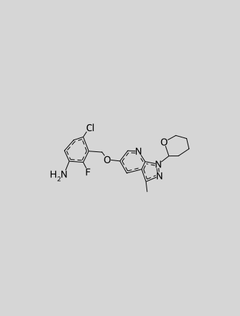 Cc1nn(C2CCCCO2)c2ncc(OCc3c(Cl)ccc(N)c3F)cc12